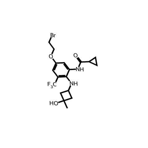 CC1(O)CC(Nc2c(NC(=O)C3CC3)cc(OCCBr)cc2C(F)(F)F)C1